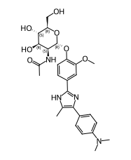 COc1cc(-c2nc(-c3ccc(N(C)C)cc3)c(C)[nH]2)ccc1O[C@H]1O[C@H](CO)[C@@H](O)[C@H](O)[C@@H]1NC(C)=O